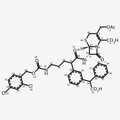 CC(=O)OCC1=C(C(=O)O)N2C(=O)[C@H](NC(=O)C(CCCNC(=O)OCc3ccc(Cl)cc3Cl)c3cccc(C(C(=O)O)c4ccccc4)c3)[C@@H]2SC1